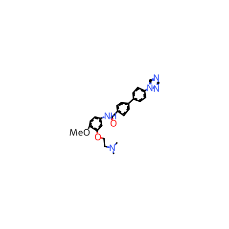 COc1ccc(NC(=O)c2ccc(-c3ccc(-n4cncn4)cc3)cc2)cc1OCCN(C)C